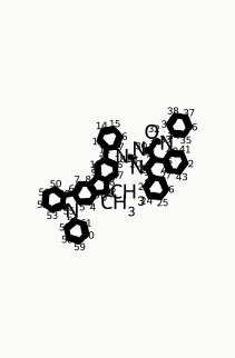 CC1(C)c2cc3c(cc2-c2cc4c5ccccc5n(-c5nc(-c6ccccc6)c6c(n5)c(=O)n(-c5ccccc5)c5ccccc65)c4cc21)c1ccccc1n3-c1ccccc1